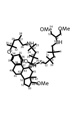 COCC(BCC(C)(C)CC(C)(C)CSSC(O)(O)C(C)(C)CC(C)(C)NCC(C)CC(C)(C)Oc1ccc2c(c1)CCC1C2CCC2(C)C(OC)CCC12)COC